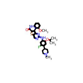 COc1ccccc1-c1c(C(N)=O)sc2cnc(Nc3cc(F)c(C4CCN(C)CC4)cc3OC(C)C)nc12